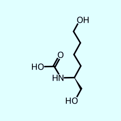 O=C(O)N[C@H](CO)CCCCO